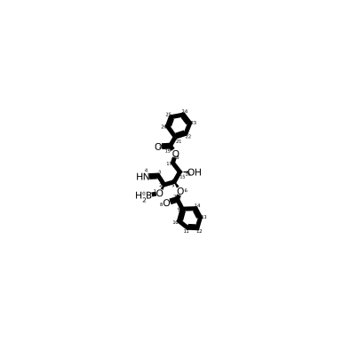 BO[C@@H](C=N)[C@H](OC(=O)c1ccccc1)[C@@H](O)COC(=O)c1ccccc1